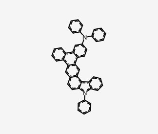 c1ccc(N(c2ccccc2)c2ccc3c(c2)c2ccccc2c2cc4ccc5c(c4cc32)c2ccccc2n5-c2ccccc2)cc1